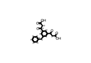 O=C(O)CC(=O)c1cc(Cc2ccccc2)cc(C(=O)CC(=O)O)c1